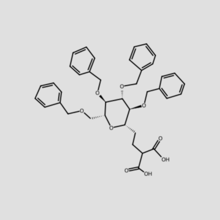 O=C(O)C(CC[C@@H]1O[C@H](COCc2ccccc2)[C@@H](OCc2ccccc2)[C@H](OCc2ccccc2)[C@H]1OCc1ccccc1)C(=O)O